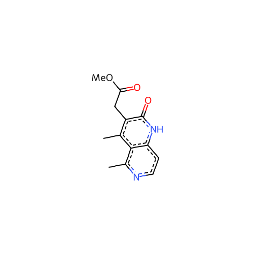 COC(=O)Cc1c(C)c2c(C)nccc2[nH]c1=O